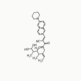 C/C=C(/CNC(=O)/C(C#N)=C/c1ccc2cc(N3CCCCC3)ccc2c1)C(C)C(C)C(C)C(O)O